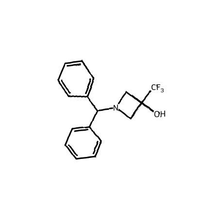 OC1(C(F)(F)F)CN(C(c2ccccc2)c2ccccc2)C1